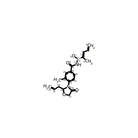 C=C/C=C(\C)[S+]([O-])NC(=O)c1ccc(N2C(=O)COC2CC=C)c(C)c1